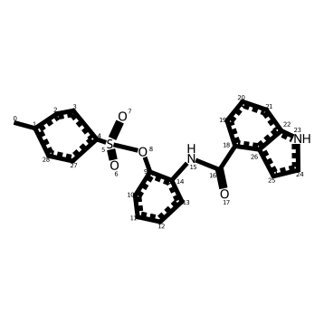 Cc1ccc(S(=O)(=O)Oc2ccccc2NC(=O)c2cccc3[nH]ccc23)cc1